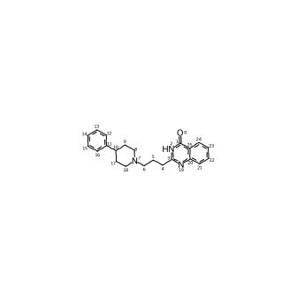 O=c1[nH]c(CCCN2CCC(c3ccccc3)CC2)nc2ccccc12